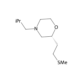 CSCC[C@@H]1CN(CC(C)C)CCO1